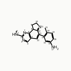 CNc1ncc2c(n1)C1CCN=C1C(c1cc(N)ccc1C)=C2